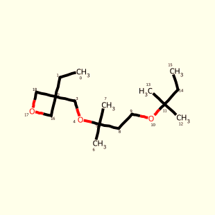 CCC1(COC(C)(C)CCOC(C)(C)CC)COC1